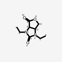 CCN1C(=O)N(CC)C2C(=O)OCC21